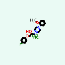 COc1ccccc1N1CCN(CC(O)COc2ccc(F)cc2)CC1.Cl.Cl